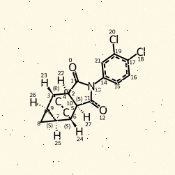 O=C1[C@@H]2[C@@H]3CC[C@@H]([C@H]4C[C@H]43)[C@@H]2C(=O)N1c1ccc(Cl)c(Cl)c1